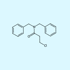 O=C(CCCl)N(Cc1ccccc1)Cc1ccccc1